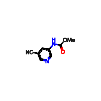 COC(=O)Nc1cncc(C#N)c1